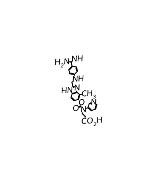 Cc1c(OC(=O)N(CCC(=O)O)c2cccnc2)ccc2[nH]c(CNc3ccc(C(=N)N)cc3)nc12